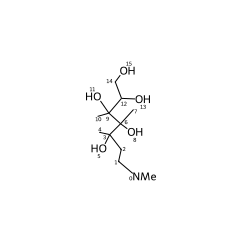 CNCCC(C)(O)C(C)(O)C(C)(O)C(O)CO